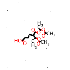 CC(=O)OC(C)OC(=O)C(CCCC(=O)O)C(C)OC(C)=O